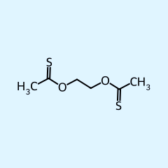 CC(=S)OCCOC(C)=S